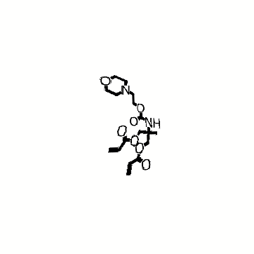 C=CC(=O)OCC(C)(COC(=O)C=C)NC(=O)OCCN1CCOCC1